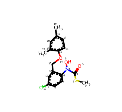 CSC(=O)N(O)c1ccc(Cl)cc1COc1ccc(C)cc1C